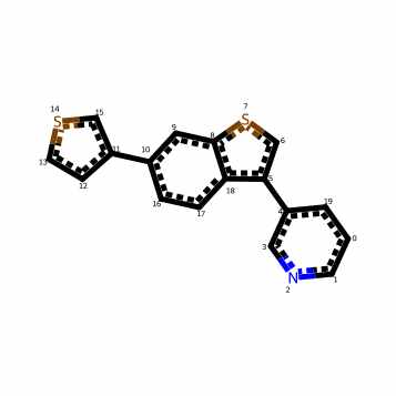 c1cncc(-c2csc3cc(-c4ccsc4)ccc23)c1